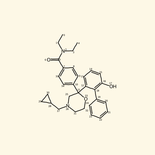 CCN(CC)C(=O)c1ccc(C2(c3cccc(O)c3-c3ccccc3)CN(CC3CC3)CCO2)cc1